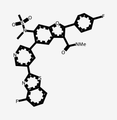 CNC(=O)c1c(-c2ccc(F)cc2)oc2cc(N(C)S(C)(=O)=O)c(-c3cncc(-c4nc5c(F)cccc5s4)c3)cc12